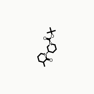 CC1CCCN([C@@H]2CCCN(C(=O)OC(C)(C)C)C2)C1=O